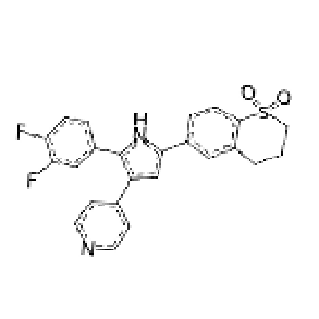 O=S1(=O)CCCc2cc(-c3cc(-c4ccncc4)c(-c4ccc(F)c(F)c4)[nH]3)ccc21